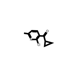 Cc1ccc(C(=O)C2CC2)c(Cl)n1